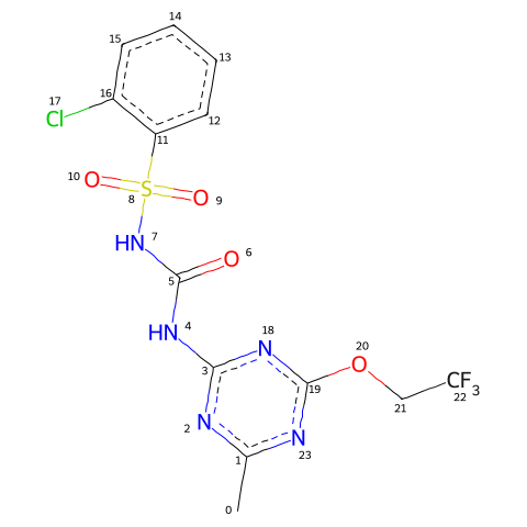 Cc1nc(NC(=O)NS(=O)(=O)c2ccccc2Cl)nc(OCC(F)(F)F)n1